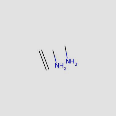 C=C.CN.CN